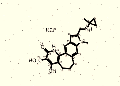 Cl.Cn1c(CNC2(C)CC2)cc2cc3c(cc21)CCCc1c-3[nH]c(=O)c(C(=O)O)c1O